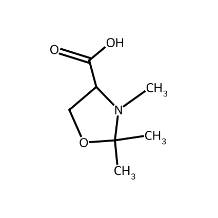 CN1C(C(=O)O)COC1(C)C